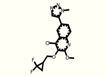 COc1nc2ccc(-c3cnnn3C)cc2c(Cl)c1OCC1CC1(F)F